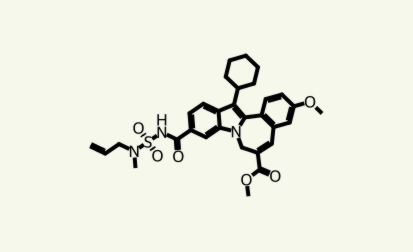 C=CCN(C)S(=O)(=O)NC(=O)c1ccc2c(C3CCCCC3)c3n(c2c1)CC(C(=O)OC)=Cc1cc(OC)ccc1-3